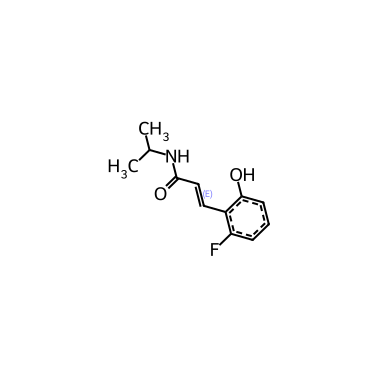 CC(C)NC(=O)/C=C/c1c(O)cccc1F